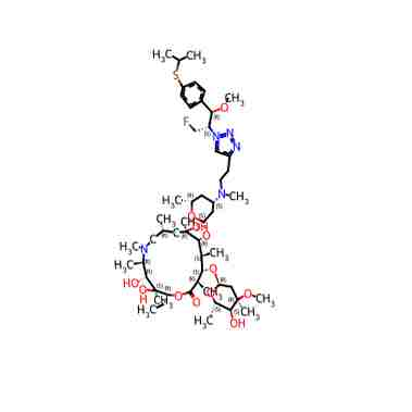 CC[C@H]1OC(=O)[C@H](C)[C@@H](O[C@H]2C[C@@](C)(OC)[C@@H](O)[C@H](C)O2)[C@H](C)[C@@H](O[C@H]2C[C@@H](N(C)CCc3cn([C@H](CF)[C@H](OC)c4ccc(SC(C)C)cc4)nn3)C[C@@H](C)O2)[C@](C)(O)C[C@@H](C)CN(C)[C@H](C)[C@@H](O)[C@]1(C)O